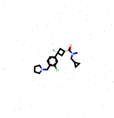 CN(CC1CC1)C(=O)[C@H]1C[C@](F)(c2ccc(CN3CCCC3)c(Cl)c2)C1